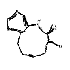 O=C1Nc2ccccc2CCCCC1Br